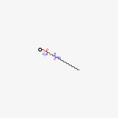 CCCCCCCCCCCCCCCCNC(=O)NCCSCC(N)C(=O)OCc1ccccc1